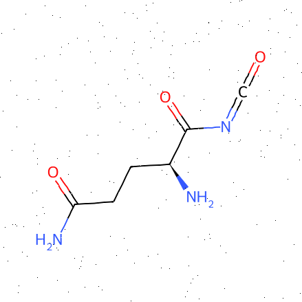 NC(=O)CC[C@H](N)C(=O)N=C=O